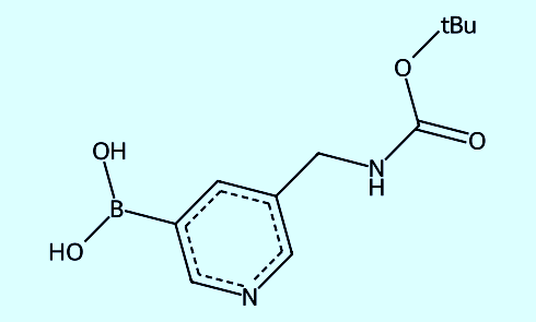 CC(C)(C)OC(=O)NCc1cncc(B(O)O)c1